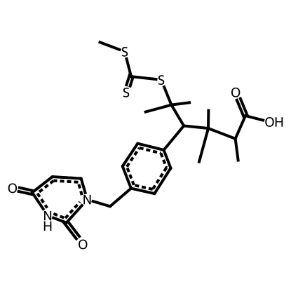 CSC(=S)SC(C)(C)C(c1ccc(Cn2ccc(=O)[nH]c2=O)cc1)C(C)(C)C(C)C(=O)O